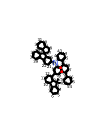 CC1(C)c2ccccc2-c2cccc(-c3cccc(N(c4ccc5c(c4)C4(CCc6ccccc64)c4ccccc4-5)c4ccccc4-c4ccc(-c5ccccc5)cc4)c3)c21